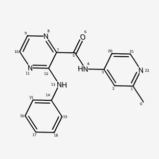 Cc1cc(NC(=O)c2nccnc2Nc2ccccc2)ccn1